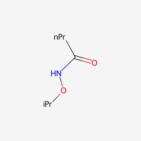 CCCC(=O)NOC(C)C